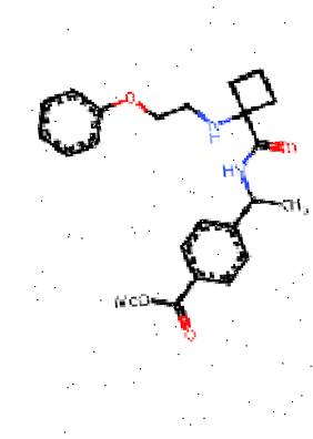 COC(=O)c1ccc(C(C)NC(=O)C2(NCCOc3ccccc3)CCC2)cc1